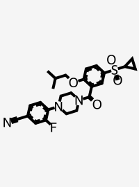 CC(C)COc1ccc(S(=O)(=O)C2CC2)cc1C(=O)N1CCN(c2ccc(C#N)cc2F)CC1